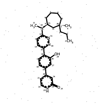 CCC[C@]1(C)CCCC[C@H](N(C)c2ccc(-c3ccc(-c4cc[nH]c(=O)c4)cc3O)nn2)C1